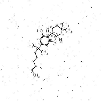 CCCCCCC(C)(C)c1cc(O)c2c(c1)O[C@@H]1CC(C)(C)CC[C@H]21